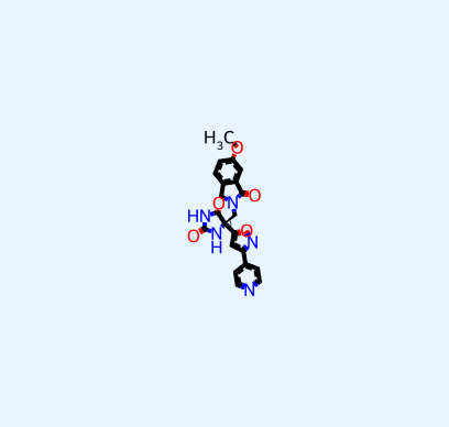 COc1ccc2c(c1)C(=O)N(C[C@@]1(c3cc(-c4ccncc4)no3)NC(=O)NC1=O)C2